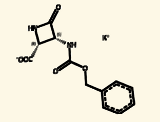 O=C(N[C@H]1C(=O)N[C@H]1C(=O)[O-])OCc1ccccc1.[K+]